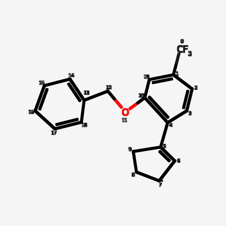 FC(F)(F)c1ccc(C2=C[CH]CC2)c(OCc2ccccc2)c1